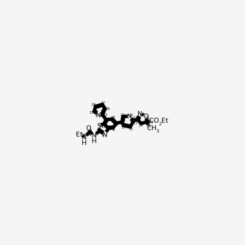 CCNC(=O)Nc1nc2cc(-c3ccc(C4=NOC(C)(C(=O)OCC)C4)nc3)cc(-c3ccccn3)c2s1